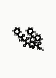 CCCCN(C(=O)C(=O)NC(=O)Cc1ccccc1)N(CC(c1ccccc1)c1ccccc1)NC(=O)C(N)=O